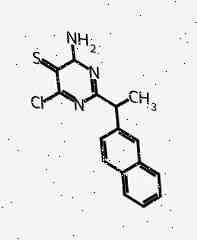 CC(C1=NC(N)C(=S)C(Cl)=N1)c1ccc2ccccc2c1